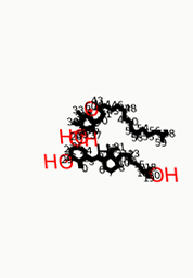 C=C1/C(=C/C=C2\CCC[C@]3(C)[C@@H]([C@H](C)CCCC(C)(C)O)CC[C@@H]23)C[C@@H](O)C[C@@H]1O.Cc1c(C)c2c(c(C)c1O)CC[C@@](C)(CCC[C@H](C)CCC[C@H](C)CCCC(C)C)O2